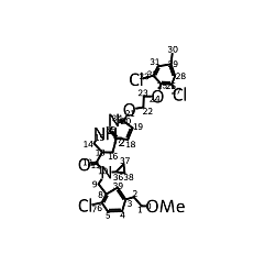 COCCc1ccc(Cl)c(CN(C(=O)C(CN)Cc2ccc(OCCOc3c(Cl)cc(C)cc3Cl)nc2)C2CC2)c1